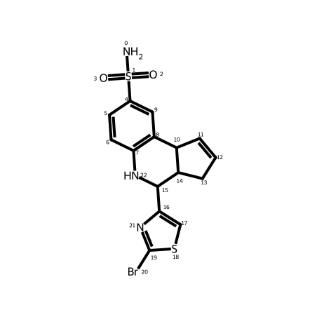 NS(=O)(=O)c1ccc2c(c1)C1C=CCC1C(c1csc(Br)n1)N2